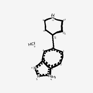 Cl.c1cc2[nH]nnc2cc1C1CCNCC1